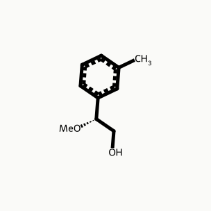 CO[C@@H](CO)c1cccc(C)c1